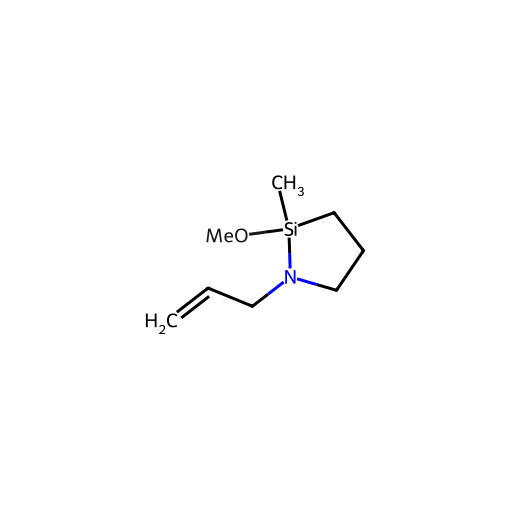 C=CCN1CCC[Si]1(C)OC